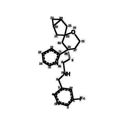 Fc1cncc(CNCC[C@@]2(c3ccccn3)CCOC3(CC4CC4C3)C2)c1